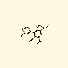 CCn1ncc2c(-c3ccnc(Cl)c3)c(C#N)c(C(C)C)nc21